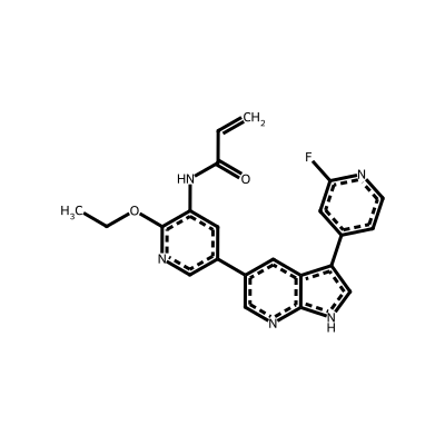 C=CC(=O)Nc1cc(-c2cnc3[nH]cc(-c4ccnc(F)c4)c3c2)cnc1OCC